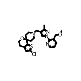 COCc1cccnc1-n1cc(CN2CCC3(CC2)OCCc2cc(Cl)sc23)c(C)n1